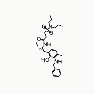 CCCN(CCC)S(=O)(=O)CCC(=O)N[C@@H](CC)Cc1ccc(C)c(NCc2ccccc2)c1O